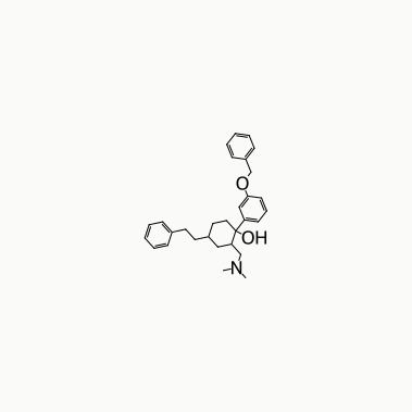 CN(C)CC1CC(CCc2ccccc2)CCC1(O)c1cccc(OCc2ccccc2)c1